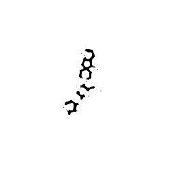 N[C@@H]1c2cccnc2CC12CCN(c1ncc(Sc3ccnc(Cl)c3Cl)nc1CO)CC2